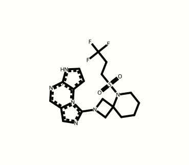 O=S(=O)(CCC(F)(F)F)N1CCCCC12CN(c1ncc3cnc4[nH]ccc4n13)C2